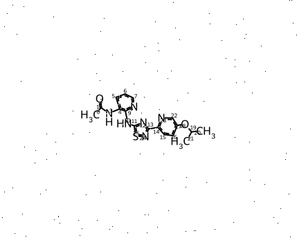 CC(=O)Nc1cccnc1Nc1nc(-c2ccc(OC(C)C)cn2)ns1